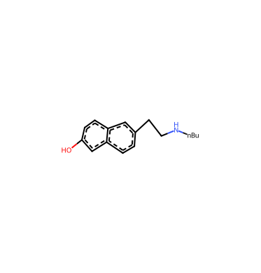 CCCCNCCc1ccc2cc(O)ccc2c1